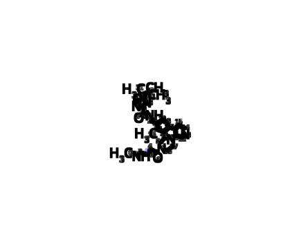 CNC/C=C/C(=O)N1CCN(c2cnccc2-c2ccc(CNC(=O)c3noc(C(C)(C)C)n3)c(C)c2)CC1